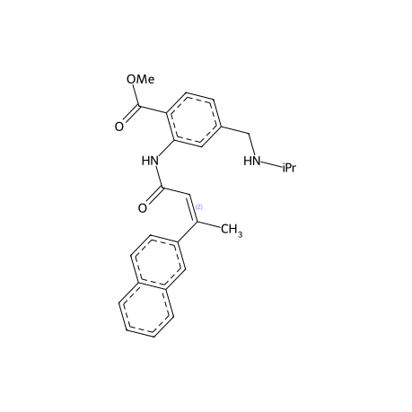 COC(=O)c1ccc(CNC(C)C)cc1NC(=O)/C=C(/C)c1ccc2ccccc2c1